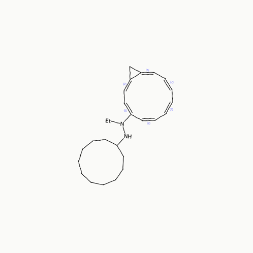 CCN(NC1CCCCCCCCCC1)C1=C/C=C2/C/C2=C/C=C\C=C/C=C\1